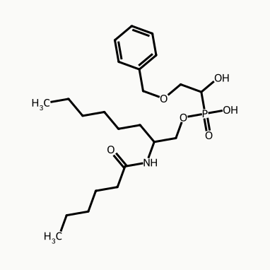 CCCCCCC(COP(=O)(O)C(O)COCc1ccccc1)NC(=O)CCCCC